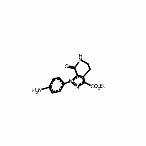 CCOC(=O)c1nn(-c2ccc(N)cc2)c2c1CCNC2=O